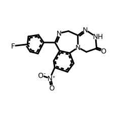 O=C1CN2C(=NN1)CN=C(c1ccc(F)cc1)c1cc([N+](=O)[O-])ccc12